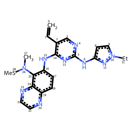 C=Cc1cnc(Nc2ccn(CC)n2)nc1Nc1ccc2nccnc2c1N(C)SC